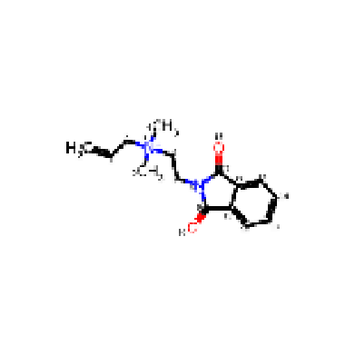 C=CC[N+](C)(C)CCN1C(=O)c2ccccc2C1=O